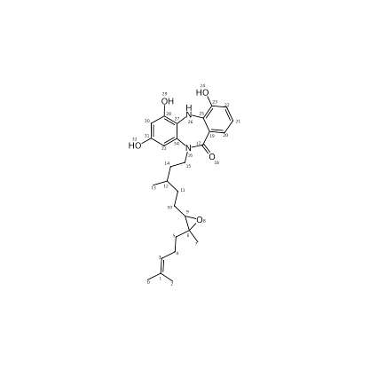 CC(C)=CCCC1(C)OC1CCC(C)CCN1C(=O)c2cccc(O)c2Nc2c(O)cc(O)cc21